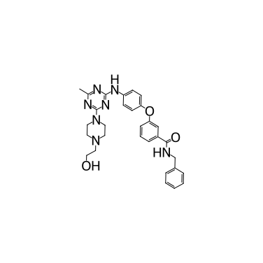 Cc1nc(Nc2ccc(Oc3cccc(C(=O)NCc4ccccc4)c3)cc2)nc(N2CCN(CCO)CC2)n1